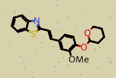 COc1cc(C=Cc2nc3ccccc3s2)ccc1OC1CCCCO1